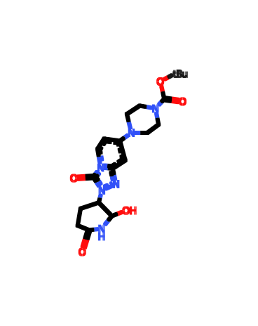 CC(C)(C)OC(=O)N1CCN(c2ccn3c(=O)n(C4CCC(=O)NC4O)nc3c2)CC1